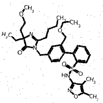 CCCCC1=NC(CC)(CCOC)C(=O)N1Cc1ccc(-c2ccccc2S(=O)(=O)Nc2noc(C)c2C)c(COCC)c1